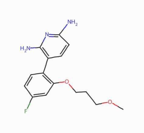 COCCCOc1cc(F)ccc1-c1ccc(N)nc1N